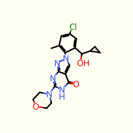 Cc1cc(Cl)cc(C(O)C2CC2)c1-n1cc2c(=O)[nH]c(N3CCOCC3)nc2n1